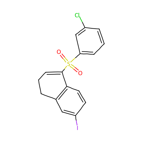 O=S(=O)(C1=CCCc2cc(I)ccc21)c1cccc(Cl)c1